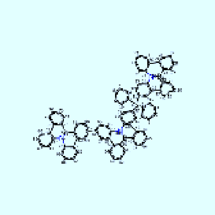 c1ccc([Si](c2ccccc2)(c2ccc3c(c2)-c2ccccc2B2c4ccccc4-c4ccccc4N23)c2ccc3c(c2)-c2ccccc2B2c4ccccc4-c4cc(-c5ccc6c(c5)-c5ccccc5N5B6c6ccccc6-c6ccccc65)ccc4N23)cc1